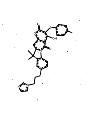 CC1(C)c2cc(OCCn3ccnc3)ccc2-n2c1cc1oc(=O)c(Sc3ccc(F)cc3)c(O)c1c2=O